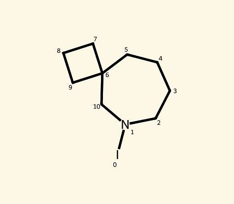 IN1CCCCC2(CCC2)C1